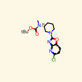 CN(C(=O)OC(C)(C)C)[C@@H]1CCCN(c2nc3nc(Cl)ccc3o2)C1